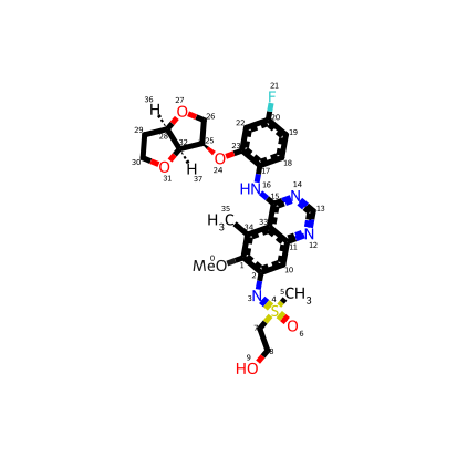 COc1c(N=S(C)(=O)CCO)cc2ncnc(Nc3ccc(F)cc3O[C@@H]3CO[C@@H]4CCO[C@@H]43)c2c1C